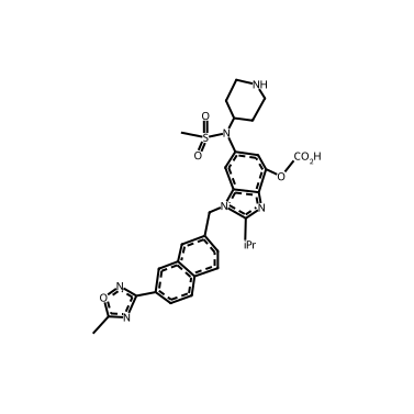 Cc1nc(-c2ccc3ccc(Cn4c(C(C)C)nc5c(OC(=O)O)cc(N(C6CCNCC6)S(C)(=O)=O)cc54)cc3c2)no1